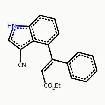 CCOC(=O)C=C(c1ccccc1)c1cccc2[nH]cc(C#N)c12